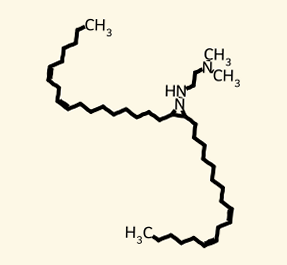 CCCCC/C=C\C/C=C\CCCCCCCCC1C(CCCCCCCC/C=C\C/C=C\CCCCC)N1NCCN(C)C